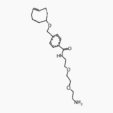 NCCOCCOCCNC(=O)c1ccc(COC2CC/C=C/CCC2)cc1